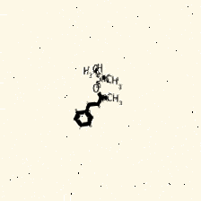 CC(C=Cc1ccccc1)O[SiH](C)C